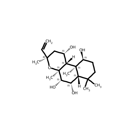 C=C[C@@]1(C)C[C@H](O)[C@H]2[C@](C)(O1)[C@@H](O)[C@@H](O)[C@H]1C(C)(C)CC[C@H](O)[C@@]12C